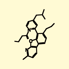 C=C(CCC)[n+]1ccc(CC(C)C)cc1-c1c(CCC)ccc2c1oc1nc(C)ccc12